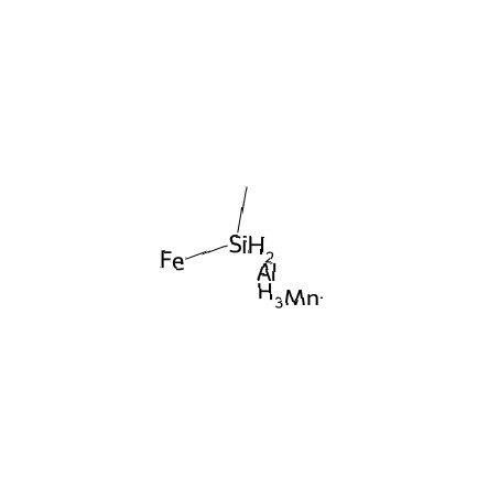 C[SiH2][Fe].[AlH3].[Mn]